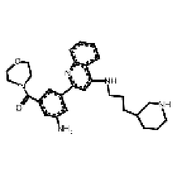 Nc1cc(C(=O)N2CCOCC2)cc(-c2cc(NCCCC3CCCNC3)c3ccccc3n2)c1